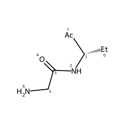 CC[C@H](NC(=O)CN)C(C)=O